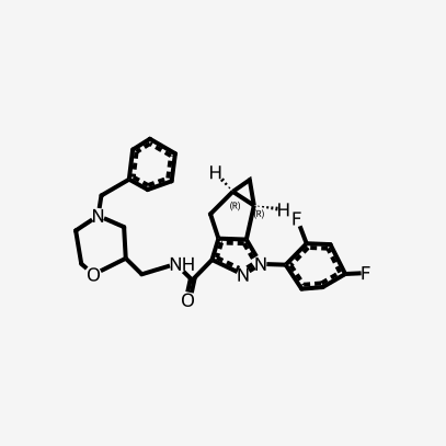 O=C(NCC1CN(Cc2ccccc2)CCO1)c1nn(-c2ccc(F)cc2F)c2c1C[C@H]1C[C@@H]21